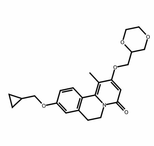 Cc1c(OCC2COCCO2)cc(=O)n2c1-c1ccc(OCC3CC3)cc1CC2